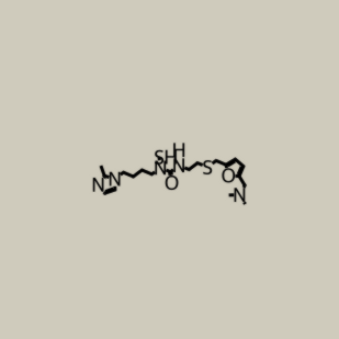 Cc1nccn1CCCCN(S)C(=O)NCCSCc1ccc(CN(C)C)o1